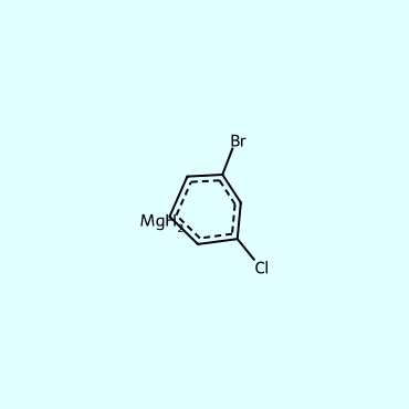 Clc1cccc(Br)c1.[MgH2]